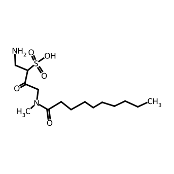 CCCCCCCCCC(=O)N(C)CC(=O)C(CN)S(=O)(=O)O